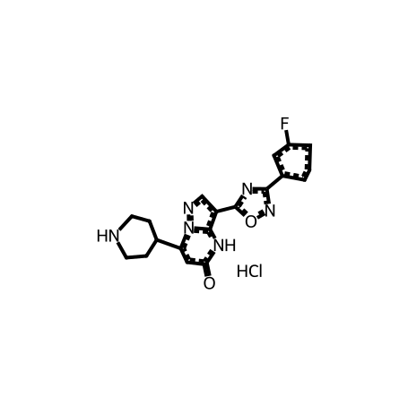 Cl.O=c1cc(C2CCNCC2)n2ncc(-c3nc(-c4cccc(F)c4)no3)c2[nH]1